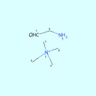 C[N+](C)(C)C.NCC=O